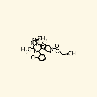 C#CCCOC(=O)N1CCc2c(sc3c2C(c2ccccc2Cl)=NC(C)c2nnc(C)n2-3)C1